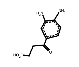 Nc1ccc(C(=O)CCC(=O)O)cc1N